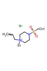 C=CC[N+]1(CC)CCN(S(=O)(=O)CCCCCCCC)CC1.[Br-]